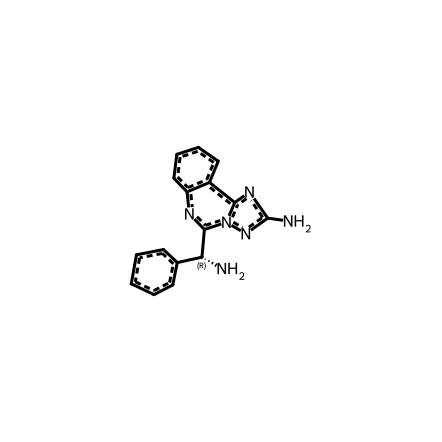 Nc1nc2c3ccccc3nc([C@H](N)c3ccccc3)n2n1